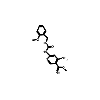 COC(=N)c1cnc(NC(=O)NCc2ccccc2OC)cc1N